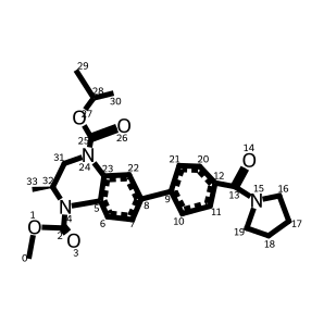 COC(=O)N1c2ccc(-c3ccc(C(=O)N4CCCC4)cc3)cc2N(C(=O)OC(C)C)C[C@@H]1C